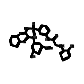 CCc1ccccc1NCC(=O)Nc1cccc(S(=O)(=O)Nc2nc3ccccc3nc2Nc2cc(O)cc(OC)c2)c1